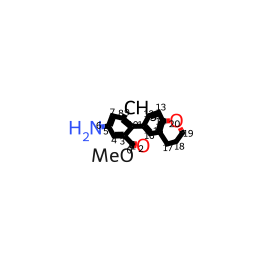 COC(=O)c1cc(N)cc(C)c1-c1ccc2c(c1)CCCO2